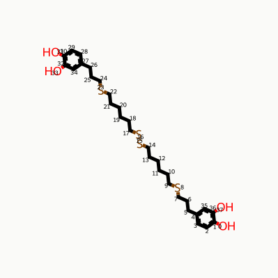 Oc1ccc(CCCSCCCCCCSSCCCCCCSCCCc2ccc(O)c(O)c2)cc1O